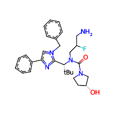 CC(C)(C)[C@H](c1nc(-c2ccccc2)cn1Cc1ccccc1)N(CC(F)CN)C(=O)N1CC[C@@H](O)C1